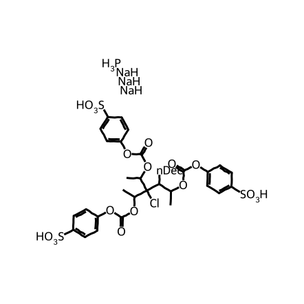 CCCCCCCCCCC(C(C)OC(=O)Oc1ccc(S(=O)(=O)O)cc1)C(Cl)(C(C)OC(=O)Oc1ccc(S(=O)(=O)O)cc1)C(C)OC(=O)Oc1ccc(S(=O)(=O)O)cc1.P.[NaH].[NaH].[NaH]